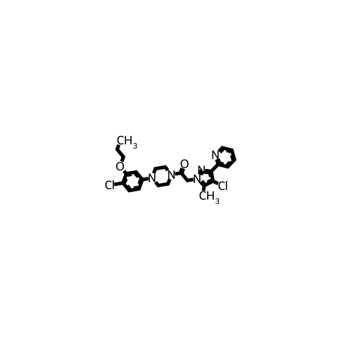 CCCOc1cc(N2CCN(C(=O)Cn3nc(-c4ccccn4)c(Cl)c3C)CC2)ccc1Cl